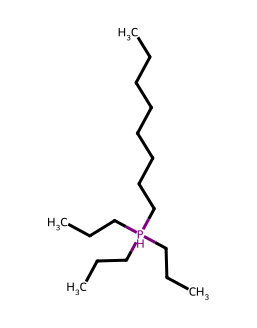 CCCCCCCC[PH](CCC)(CCC)CCC